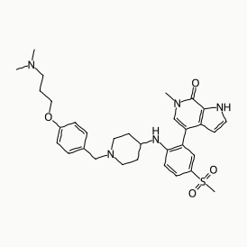 CN(C)CCCOc1ccc(CN2CCC(Nc3ccc(S(C)(=O)=O)cc3-c3cn(C)c(=O)c4[nH]ccc34)CC2)cc1